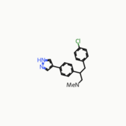 CNCC(Cc1ccc(Cl)cc1)c1ccc(-c2cn[nH]c2)cc1